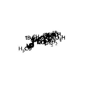 C=CC[C@@H](C(=O)C(C)(C)[C@H](CC(=O)O)O[Si](C)(C)C(C)(C)C)[C@@H](O[Si](C)(C)C(C)(C)C)[C@@H](C)CCC/C(C)=C/C[C@H](O[Si](C)(C)C(C)(C)C)c1ccc2oc(C)nc2c1